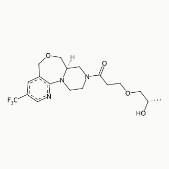 C[C@H](O)COCCC(=O)N1CCN2c3ncc(C(F)(F)F)cc3COC[C@H]2C1